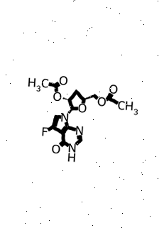 CC(=O)OC[C@@H]1C[C@@H](OC(C)=O)[C@H](n2cc(F)c3c(=O)[nH]cnc32)O1